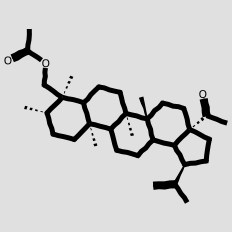 C=C(C)[C@@H]1CC[C@]2(C(C)=O)CC[C@]3(C)C(CCC4[C@@]5(C)CC[C@H](C)[C@@](C)(COC(C)=O)C5CC[C@]43C)C12